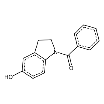 O=C(c1ccccc1)N1CCc2cc(O)ccc21